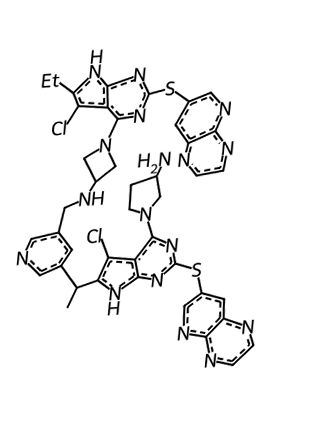 CCc1[nH]c2nc(Sc3cnc4nccnc4c3)nc(N3CC(NCc4cncc(C(C)c5[nH]c6nc(Sc7cnc8nccnc8c7)nc(N7CCC(N)C7)c6c5Cl)c4)C3)c2c1Cl